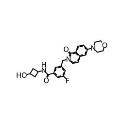 O=C(NC1CC(O)C1)c1cc(F)cc(Cn2ccc3cc(N4CCOCC4)ccc3c2=O)c1